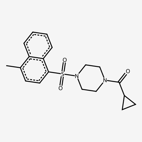 Cc1ccc(S(=O)(=O)N2CCN(C(=O)C3CC3)CC2)c2ccccc12